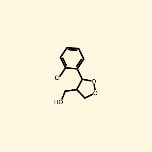 OCC1COOC1c1ccccc1Cl